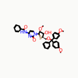 COc1ccc(C(OC[C@H]2SC(n3ccc(NC(=O)c4ccccc4)nc3=O)[C@H](OC)[C@@H]2O)(c2ccccc2)c2ccc(OC)cc2)cc1